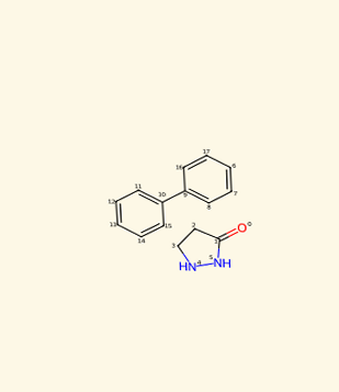 O=C1CCNN1.c1ccc(-c2ccccc2)cc1